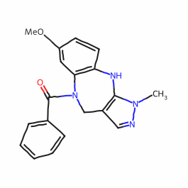 COc1ccc2c(c1)N(C(=O)c1ccccc1)Cc1cnn(C)c1N2